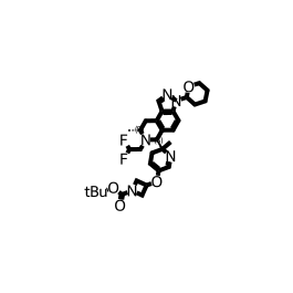 C[C@@H]1Cc2c(ccc3c2cnn3C2CCCCO2)[C@@H](C2(C)CC=C(OC3CN(C(=O)OC(C)(C)C)C3)C=N2)N1CC(F)F